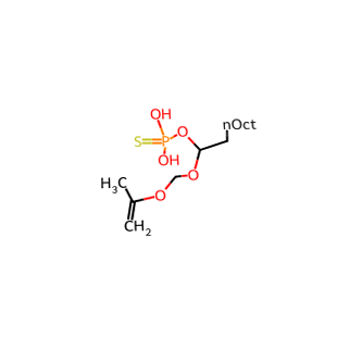 C=C(C)OCOC(CCCCCCCCC)OP(O)(O)=S